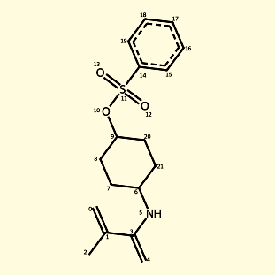 C=C(C)C(=C)NC1CCC(OS(=O)(=O)c2ccccc2)CC1